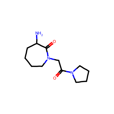 NC1CCCCN(CC(=O)N2CCCC2)C1=O